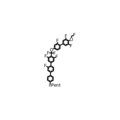 CCCCCc1ccc(-c2ccc(-c3cc(F)c(C(F)(F)Oc4ccc(-c5cc(F)c(OCF)c(F)c5)c(F)c4)c(F)c3)c(F)c2)cc1